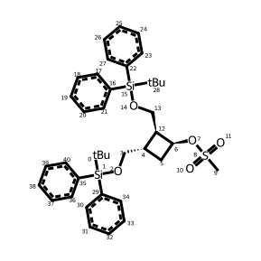 CC(C)(C)[Si](OC[C@H]1C[C@H](OS(C)(=O)=O)[C@@H]1CO[Si](c1ccccc1)(c1ccccc1)C(C)(C)C)(c1ccccc1)c1ccccc1